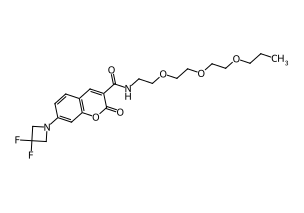 CCCOCCOCCOCCNC(=O)c1cc2ccc(N3CC(F)(F)C3)cc2oc1=O